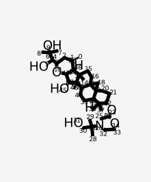 C[C@@H]1CC(C(O)C(C)(C)O)OC2[C@H]1C1(C)CCC34CC35CCC(O[C@H]3CN(C(C)(C)CO)CCO3)C(C)(C)[C@@H]5CCC4[C@]1(C)[C@H]2O